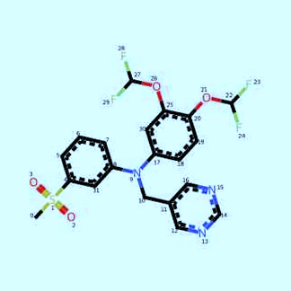 CS(=O)(=O)c1cccc(N(Cc2cncnc2)c2ccc(OC(F)F)c(OC(F)F)c2)c1